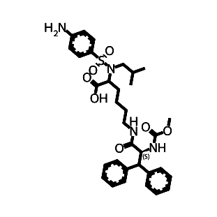 COC(=O)N[C@H](C(=O)NCCCCC(C(=O)O)N(CC(C)C)S(=O)(=O)c1ccc(N)cc1)C(c1ccccc1)c1ccccc1